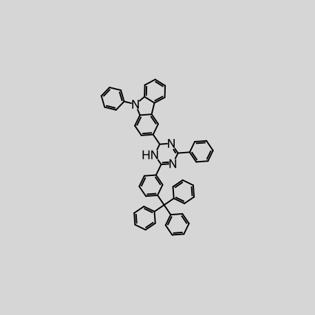 c1ccc(C2=NC(c3ccc4c(c3)c3ccccc3n4-c3ccccc3)NC(c3cccc(C(c4ccccc4)(c4ccccc4)c4ccccc4)c3)=N2)cc1